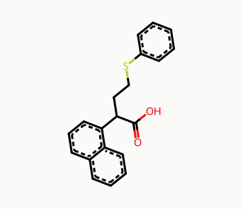 O=C(O)C(CCSc1ccccc1)c1cccc2ccccc12